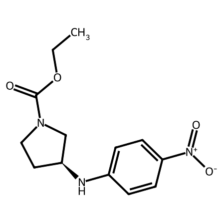 CCOC(=O)N1CC[C@H](Nc2ccc([N+](=O)[O-])cc2)C1